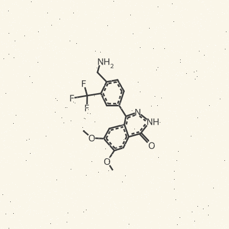 COc1cc2c(-c3ccc(CN)c(C(F)(F)F)c3)n[nH]c(=O)c2cc1OC